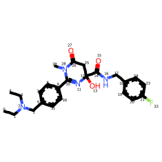 CCN(CC)Cc1ccc(C2=NC(O)(C(=O)NCc3ccc(F)cc3)CC(=O)N2C)cc1